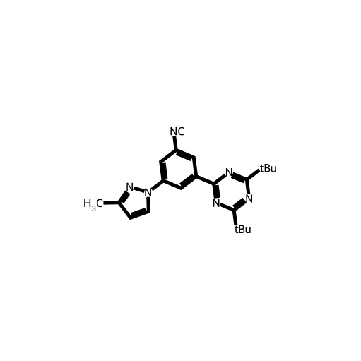 [C-]#[N+]c1cc(-c2nc(C(C)(C)C)nc(C(C)(C)C)n2)cc(-n2ccc(C)n2)c1